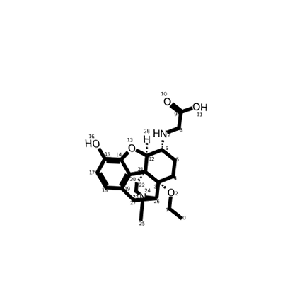 CCO[C@@]12CC[C@@H](NCC(=O)O)[C@@H]3Oc4c(O)ccc5c4[C@@]31CCN(C)C2C5